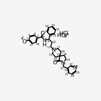 COc1ccc(C(=O)NC(CCN2CCC3(CC2)CCN(Cc2cccnc2)C3=O)c2ccccc2)cc1.Cl.Cl